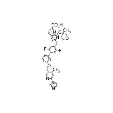 CC1(C)COC[C@H]1n1c(Cc2cc(F)c(-c3cccc(OCc4cnc(-n5ccnn5)cc4C(F)(F)F)n3)cc2F)nc2ccc(C(=O)O)cc21